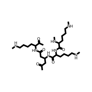 CNCCCCC(NC(=O)CC(CC(C)=O)NC(=O)C(CCCCNC)NC(=O)C(CCCCNC)NC)C(C)=O